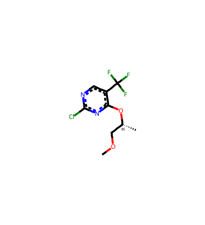 COC[C@@H](C)Oc1nc(Cl)ncc1C(F)(F)F